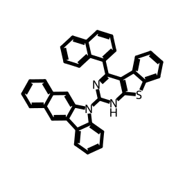 c1ccc2cc3c(cc2c1)c1ccccc1n3C1N=C(c2cccc3ccccc23)c2c(sc3ccccc23)N1